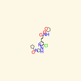 O=C(C=Cc1cnc(N[C@@H]2CCN(C(=O)C3CCCC3)C2)c(Cl)c1)NOC1CCCCO1